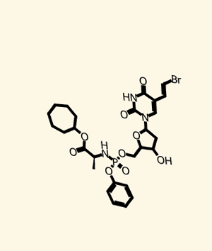 C[C@H](NP(=O)(OCC1OC(n2cc(/C=C/Br)c(=O)[nH]c2=O)CC1O)Oc1ccccc1)C(=O)OC1CCCCCC1